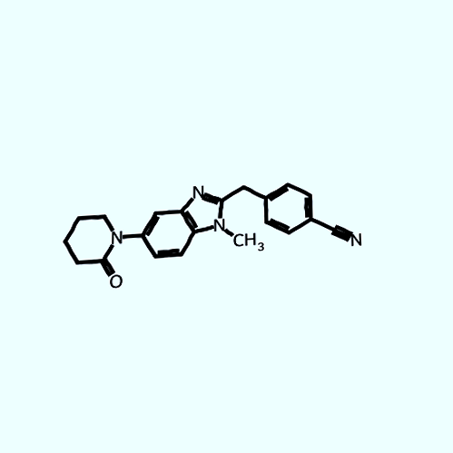 Cn1c(Cc2ccc(C#N)cc2)nc2cc(N3CCCCC3=O)ccc21